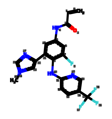 C=CC(=O)Nc1cc(F)c(Nc2ccc(C(F)(F)F)cn2)c(-c2cn(C)cn2)c1